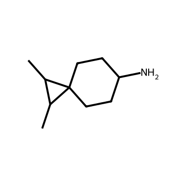 CC1C(C)C12CCC(N)CC2